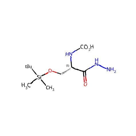 CC(C)(C)[Si](C)(C)OC[C@H](NC(=O)O)C(=O)NN